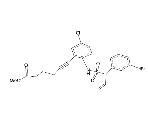 C=CC(c1cccc(C(C)C)c1)S(=O)(=O)Nc1ccc(Cl)cc1C#CCCCC(=O)OC